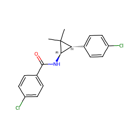 CC1(C)[C@H](NC(=O)c2ccc(Cl)cc2)[C@H]1c1ccc(Cl)cc1